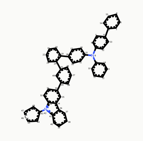 c1ccc(-c2ccc(N(c3ccccc3)c3ccc(-c4ccccc4-c4cccc(-c5ccc6c(c5)c5ccccc5n6-c5ccccc5)c4)cc3)cc2)cc1